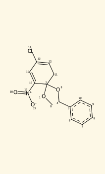 COC1(OCc2ccccc2)CC=C(Cl)C=C1[N+](=O)[O-]